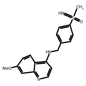 COc1ccc2c(NCc3ccc(S(C)(=N)=O)cc3)ccnc2c1